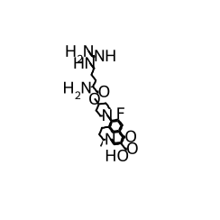 C[C@H]1CCc2c(N3CCC(OC(=O)[C@@H](N)CCCNC(=N)N)CC3)c(F)cc3c(=O)c(C(=O)O)cn1c23